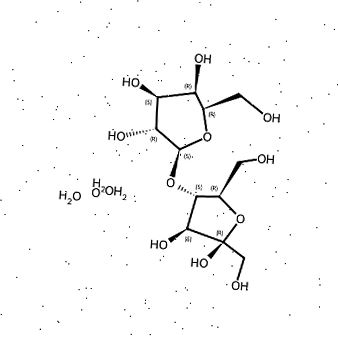 O.O.O.OC[C@H]1O[C@@H](O[C@@H]2[C@@H](CO)O[C@](O)(CO)[C@H]2O)[C@H](O)[C@@H](O)[C@H]1O